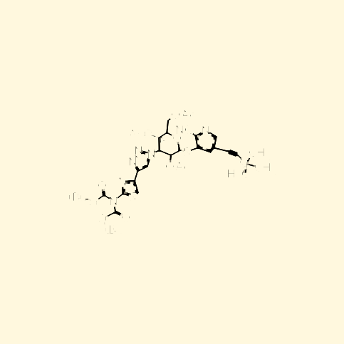 CC(=O)OCC1O[C@H](Sc2cc(C#C[Si](C)(C)C)cnc2C#N)C(OC(C)=O)C(n2cc(-c3csc(N(C(=O)OC(C)(C)C)C(=O)OC(C)(C)C)n3)nn2)[C@H]1OC(C)=O